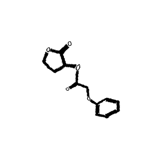 O=C(COc1ccccc1)OC1CCOC1=O